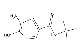 CC(C)(C)NC(=O)c1ccc(O)c(N)c1